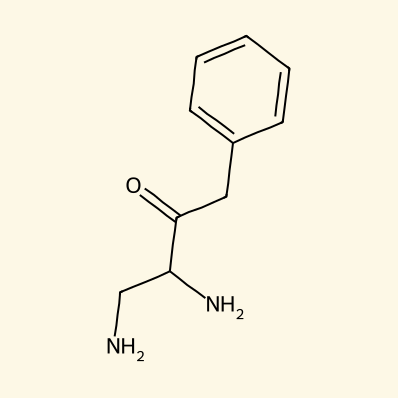 NCC(N)C(=O)Cc1ccccc1